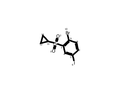 O=S(=O)(c1cc(I)ccc1Br)C1CC1